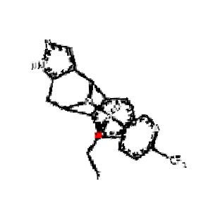 O=S(=O)(c1ccc(C(F)(F)F)nc1)N1C2Cc3[nH]ncc3C1c1cccc(CF)c12